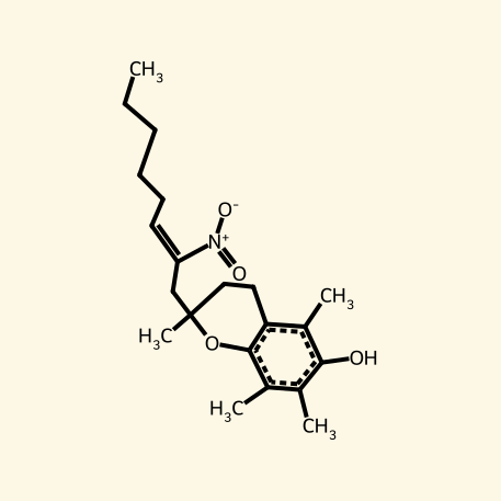 CCCCCC=C(CC1(C)CCc2c(C)c(O)c(C)c(C)c2O1)[N+](=O)[O-]